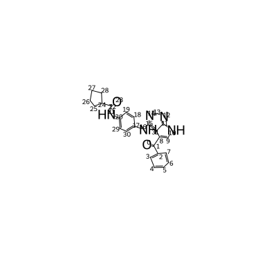 O=C(c1ccccc1)c1c[nH]c2ncnc(Nc3ccc(NC(=O)C4CCCC4)cc3)c12